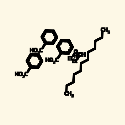 CCCCCCCCCCCC.CCO.CCO.O=C(O)c1ccccc1.O=C(O)c1ccccc1.O=C(O)c1ccccc1